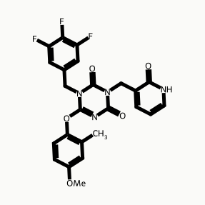 COc1ccc(Oc2nc(=O)n(Cc3ccc[nH]c3=O)c(=O)n2Cc2cc(F)c(F)c(F)c2)c(C)c1